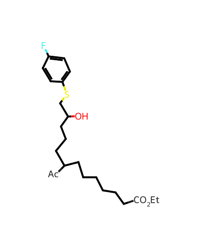 CCOC(=O)CCCCCCC(CCCC(O)CSc1ccc(F)cc1)C(C)=O